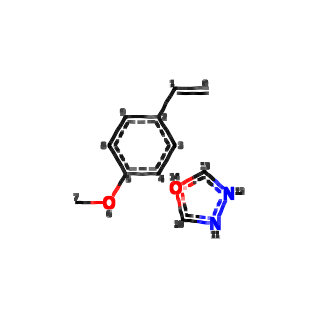 C=Cc1ccc(OC)cc1.c1nnco1